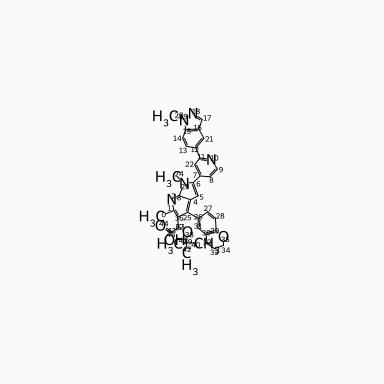 Cc1nc2c(cc(-c3ccnc(-c4ccc5c(cnn5C)c4)c3)n2C)c(-c2ccc3c(c2)CCCO3)c1[C@H](OC(C)(C)C)C(=O)O